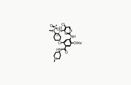 COc1cc(C(=O)NC2CCN(C)CC2)c(Cl)cc1Nc1ncc(Cl)c(N[C@@H]2CCCC[C@H]2N(C)S(C)(=O)=O)n1